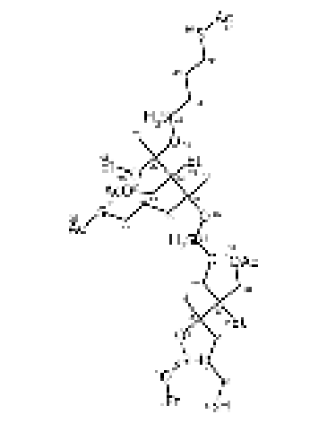 CCO[SiH2]OC(C)(CCCS)C(CC)(CO[SiH2]OC(C)(CCCSC(C)=O)C(CC)(COC(C)=O)C(C)(OCC)O[SiH2]CCCSC(C)=O)COC(C)=O